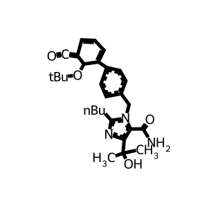 CCCCc1nc(C(C)(C)O)c(C(N)=O)n1Cc1ccc(C2=CC=CC(=C=O)C2OC(C)(C)C)cc1